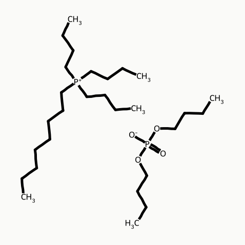 CCCCCCCC[P+](CCCC)(CCCC)CCCC.CCCCOP(=O)([O-])OCCCC